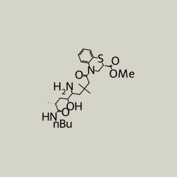 CCCCNC(=O)[C@H](C)C[C@H](O)[C@@H](N)CC(C)(C)CC(=O)N1C[C@H](C(=O)OC)Sc2ccccc21